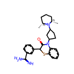 C[C@@H]1CCC[C@H](C)N1C1CCC(N2C(=O)C(c3cccc(C(=N)N)c3)Sc3ccccc32)C1